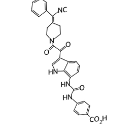 [C-]#[N+]C(=C1CCN(C(=O)C(=O)c2c[nH]c3c(NC(=O)Nc4ccc(C(=O)O)cc4)cccc23)CC1)c1ccccc1